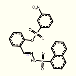 O=[N+]([O-])c1cccc(S(=O)(=O)Oc2ccccc2/C=N/NS(=O)(=O)c2cccc3ccccc23)c1